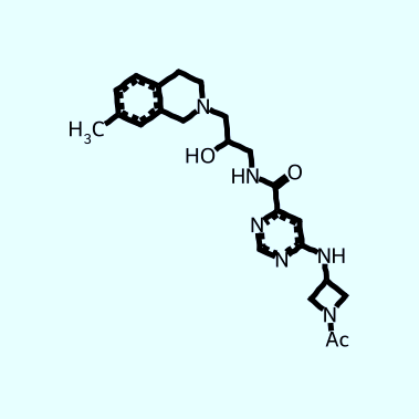 CC(=O)N1CC(Nc2cc(C(=O)NCC(O)CN3CCc4ccc(C)cc4C3)ncn2)C1